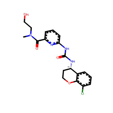 CN(CCO)C(=O)c1cccc(NC(=O)N[C@H]2CCOc3c(Cl)cccc32)n1